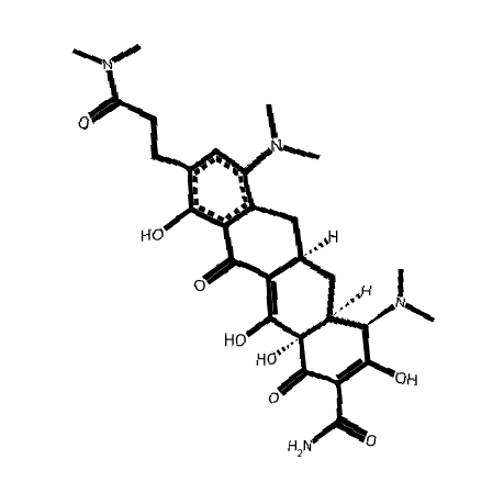 CN(C)C(=O)CCc1cc(N(C)C)c2c(c1O)C(=O)C1=C(O)[C@]3(O)C(=O)C(C(N)=O)=C(O)[C@H](N(C)C)[C@@H]3C[C@@H]1C2